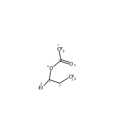 CCC(CC(F)(F)F)OC(=O)C(F)(F)F